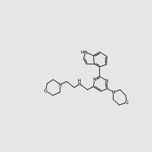 c1cc(-c2nc(CNCCN3CCOCC3)cc(N3CCOCC3)n2)c2cc[nH]c2c1